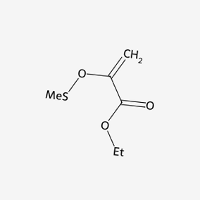 C=C(OSC)C(=O)OCC